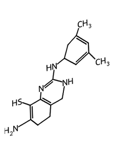 CC1=CC(NC2=NC3=C(CCC(N)=C3S)CN2)CC(C)=C1